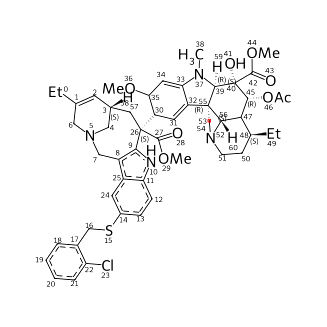 CCC1=C[C@H]2CN(C1)Cc1c([nH]c3ccc(SCc4ccccc4Cl)cc13)[C@@](C(=O)OC)(C1C=C3C(=CC1OC)N(C)[C@H]1[C@@](O)(C(=O)OC)[C@H](OC(C)=O)C4[C@@H](CC)CCN5CC[C@]31[C@H]45)C2